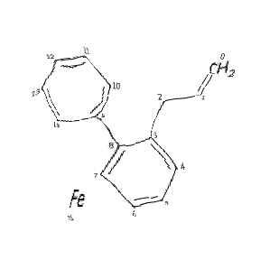 C=CCc1ccccc1-c1ccccc1.[Fe]